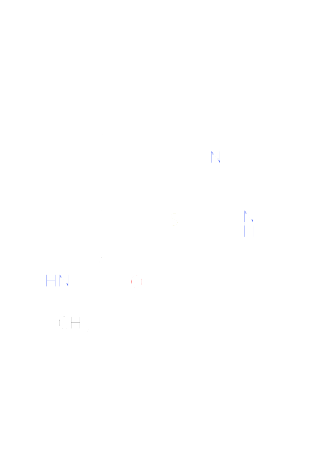 CNC(=O)c1ccccc1Sc1ncc[nH]1